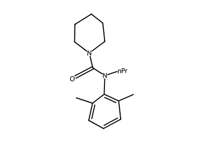 CCCN(C(=O)N1CCCCC1)c1c(C)cccc1C